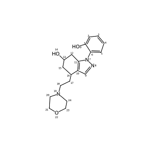 Oc1ccccc1-n1ncc2c1CC(O)CC2CCN1CCOCC1